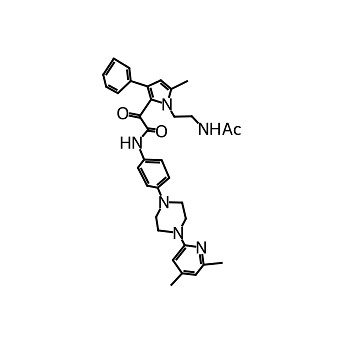 CC(=O)NCCn1c(C)cc(-c2ccccc2)c1C(=O)C(=O)Nc1ccc(N2CCN(c3cc(C)cc(C)n3)CC2)cc1